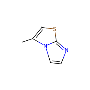 Cc1[c]sc2nccn12